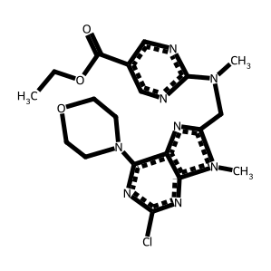 CCOC(=O)c1cnc(N(C)Cc2nc3c(N4CCOCC4)nc(Cl)nc3n2C)nc1